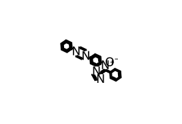 [O-][n+]1c(C2C=CC=CC2)c2nccn2c2cc(N3CCN(c4ccccc4)CC3)ccc21